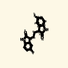 O=C1Nc2ccc(F)cc2C1CCC1C(=O)Nc2ccc(F)cc21